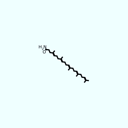 CC(C)=CCC/C(C)=C/CC/C(C)=C/CC/C=C(\C)CC/C=C(\C)CCC(N)=O